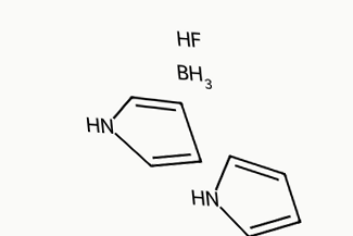 B.F.c1cc[nH]c1.c1cc[nH]c1